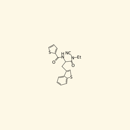 CCN(C#N)C(=O)C(Cc1csc2ccccc12)NC(=O)c1cccs1